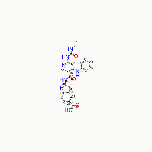 CCNC(=O)Nc1cc(Nc2ccccc2)c(C(=O)Nc2nc3ccc(C(=O)O)cc3s2)cn1